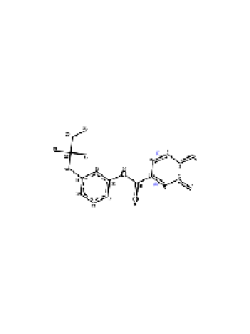 C=C/C=C\C(=C/C=C)C(=O)Oc1cccc(CC(C)(C)CC)c1